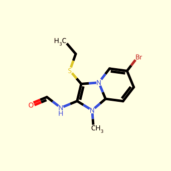 CCSC1=C(NC=O)N(C)C2C=CC(Br)=CN12